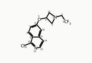 FC(F)(F)CN1CC(Oc2ccc3c(Cl)nccc3c2)C1